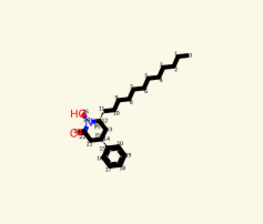 CCCCCCCCCCCC[C@@H]1C[C@H](c2ccccc2)CC(=O)N1O